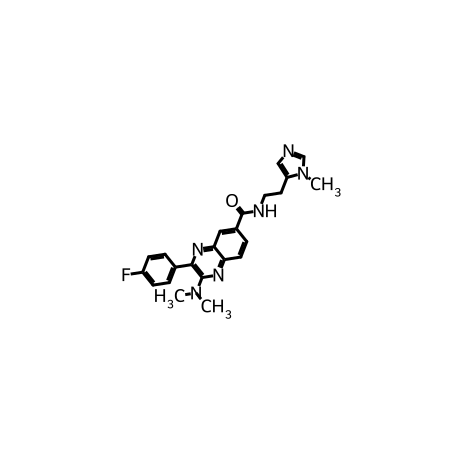 CN(C)c1nc2ccc(C(=O)NCCc3cncn3C)cc2nc1-c1ccc(F)cc1